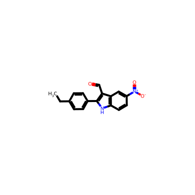 CCc1ccc(-c2[nH]c3ccc([N+](=O)[O-])cc3c2C=O)cc1